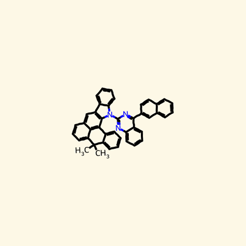 CC1(C)c2ccccc2-c2c3c1cccc3cc1c3ccccc3n(-c3nc(-c4ccc5ccccc5c4)c4ccccc4n3)c21